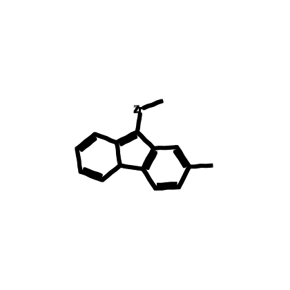 [CH3][Zr][C]1=C2C=CC=CC2c2ccc(C)cc21